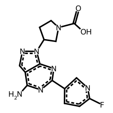 Nc1nc(-c2ccc(F)nc2)nc2c1cnn2C1CCN(C(=O)O)C1